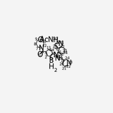 Bc1cc(C(=O)N2CCCOCC2)ccc1-n1nc(-c2cccnc2)c2c1-c1sc(NC(C)=O)nc1CC2